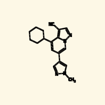 Cn1cc(-c2cc(C3CCCCC3)c3c(C#N)cnn3c2)cn1